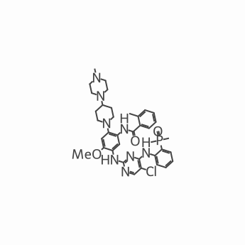 COc1cc(N2CCC(N3CCN(C)CC3)CC2)c(NC(=O)c2ccccc2C)cc1Nc1ncc(Cl)c(Nc2ccccc2P(C)(C)=O)n1